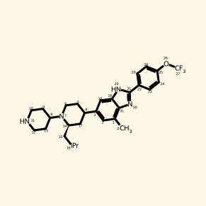 Cc1cc(C2CCN(C3CCNCC3)[C@H](CC(C)C)C2)cc2[nH]c(-c3ccc(OC(F)(F)F)cc3)nc12